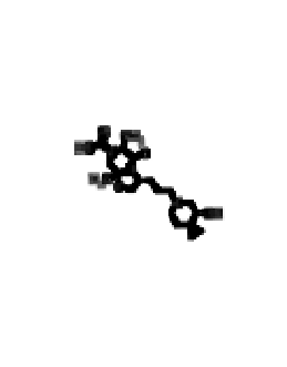 C[C@H]1C(=O)N2[C@@H](CCCN3CCC4(CC4)[C@H](O)C3)COC2(C)CN1C(=O)O